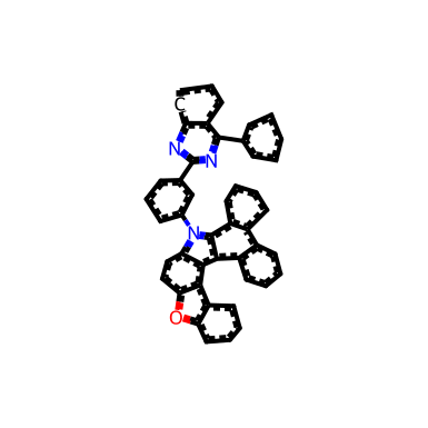 c1ccc(-c2nc(-c3cccc(-n4c5ccc6oc7ccccc7c6c5c5c6ccccc6c6ccccc6c54)c3)nc3ccccc23)cc1